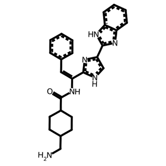 NCC1CCC(C(=O)NC(=Cc2ccccc2)c2nc(-c3nc4ccccc4[nH]3)c[nH]2)CC1